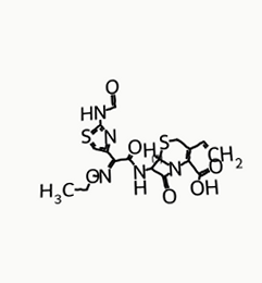 C=CC1=C(C(=O)O)N2C(=O)C(NC(=O)C(=NOCC)c3csc(NC=O)n3)[C@@H]2SC1